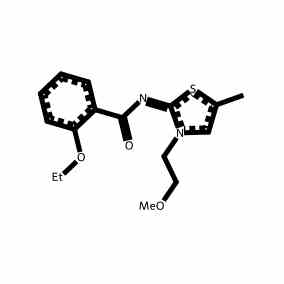 CCOc1ccccc1C(=O)N=c1sc(C)cn1CCOC